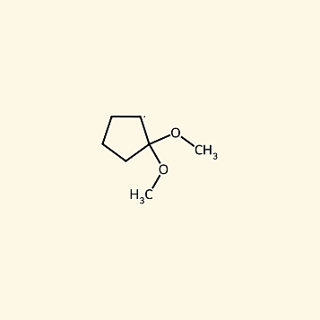 COC1(OC)[CH]CCC1